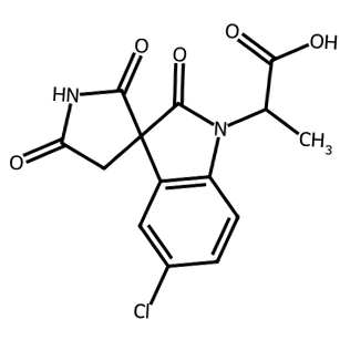 CC(C(=O)O)N1C(=O)C2(CC(=O)NC2=O)c2cc(Cl)ccc21